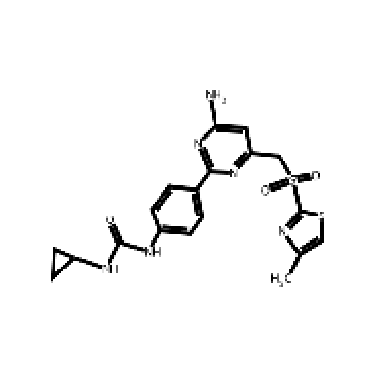 Cc1csc(S(=O)(=O)Cc2cc(N)nc(-c3ccc(NC(=O)NC4CC4)cc3)n2)n1